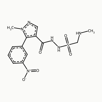 CNCS(=O)(=O)NNC(=O)c1cnn(C)c1-c1cccc([N+](=O)[O-])c1